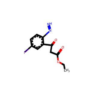 CCOC(=O)CC(=O)c1cc(I)ccc1N=N